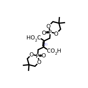 CC1(C)COP(=O)(C/C(C(=O)O)=C(/CP2(=O)OCC(C)(C)CO2)C(=O)O)OC1